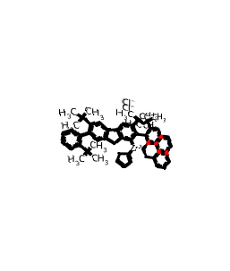 CC(C)(C)c1ccccc1-c1cc2c(cc1C(C)(C)C)-c1cc(C(C)(C)C)c(-c3ccccc3C(C)(C)C)[c]([Zr+2]([C]3=CC=CC3)=[C](Cc3ccccc3)Cc3ccccc3)c1C2.[Cl-].[Cl-]